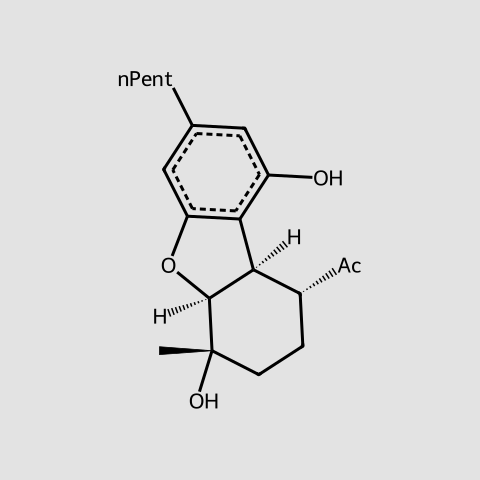 CCCCCc1cc(O)c2c(c1)O[C@H]1[C@@H]2[C@H](C(C)=O)CC[C@]1(C)O